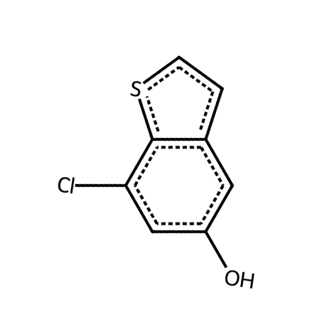 Oc1cc(Cl)c2sccc2c1